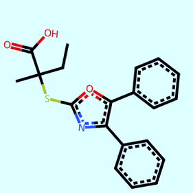 CCC(C)(Sc1nc(-c2ccccc2)c(-c2ccccc2)o1)C(=O)O